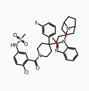 Cc1nc2ccccc2n1C1CC2CCC(C1)N2CCCC1(c2cccc(F)c2)CCN(C(=O)c2cc(NS(C)(=O)=O)ccc2Cl)CC1